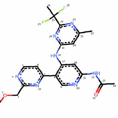 COCc1nccc(-c2cnc(NC(C)=O)cc2Nc2cc(C)nc(C(C)(F)F)n2)n1